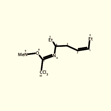 CC/C=C\CC(CC)N=C(ONC)C(Cl)(Cl)Cl